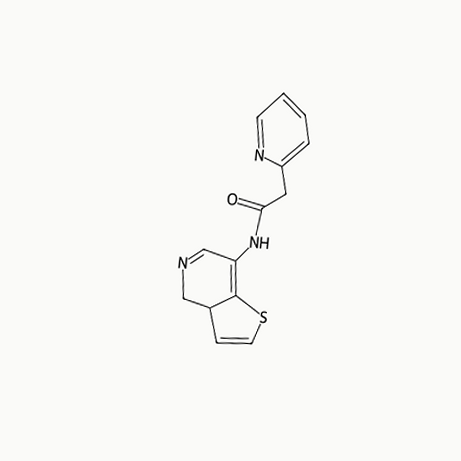 O=C(Cc1ccccn1)NC1=C2SC=CC2CN=C1